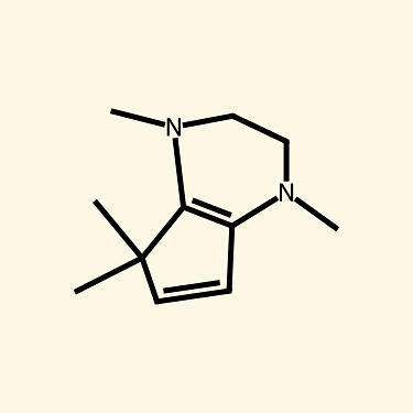 CN1CCN(C)C2=C1C=CC2(C)C